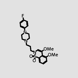 COC1=CN(CCCN2CCN(c3ccc(F)cc3)CC2)S(=O)(=O)c2cccc(OC)c21